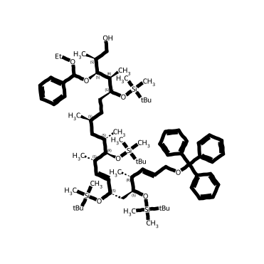 CCOC(O[C@H]([C@@H](C)[C@H](CC[C@H](C)C[C@H](C)[C@@H](O[Si](C)(C)C(C)(C)C)[C@@H](C)C=C[C@H](C[C@H](O[Si](C)(C)C(C)(C)C)[C@H](C)C=CCOC(c1ccccc1)(c1ccccc1)c1ccccc1)O[Si](C)(C)C(C)(C)C)O[Si](C)(C)C(C)(C)C)[C@@H](C)CO)c1ccccc1